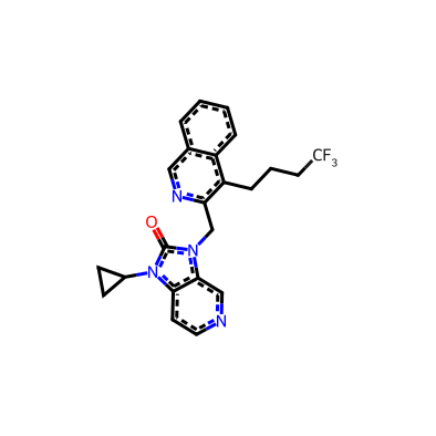 O=c1n(Cc2ncc3ccccc3c2CCCC(F)(F)F)c2cnccc2n1C1CC1